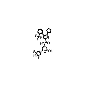 O=C(O)C[C@H](CCN1CC(F)(F)C(F)(F)C1)NC(=O)c1cc(-c2ccccc2C(F)(F)F)n(C2CCCC2)n1